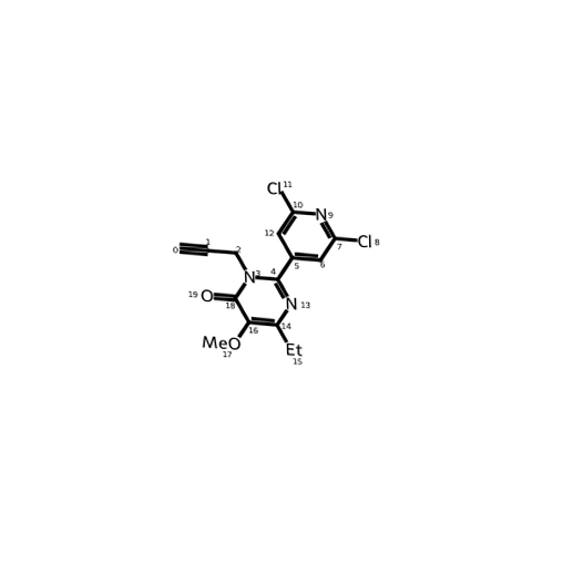 C#CCn1c(-c2cc(Cl)nc(Cl)c2)nc(CC)c(OC)c1=O